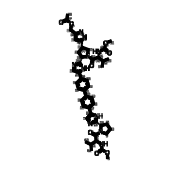 COC(=O)NC(C(=O)N1CCC[C@H]1c1ncc(-c2ccc(-c3ccc(-c4cnc([C@@H]5C[C@H](n6cc(COC(C)=O)nn6)CN5C(=O)[C@@H](NC(=O)OC)C(C)C)[nH]4)cc3)cc2)[nH]1)C(C)C